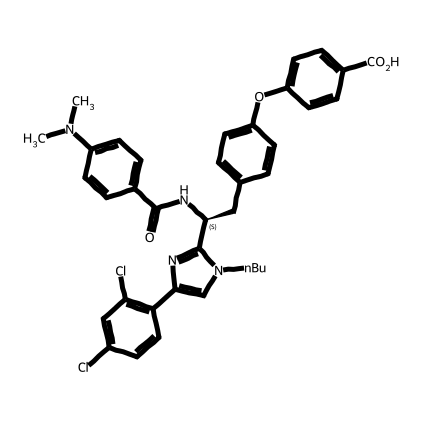 CCCCn1cc(-c2ccc(Cl)cc2Cl)nc1[C@H](Cc1ccc(Oc2ccc(C(=O)O)cc2)cc1)NC(=O)c1ccc(N(C)C)cc1